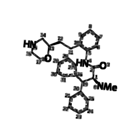 CN[C@H](C(=O)Nc1ccccc1CC[C@@H]1CNCCO1)C(c1ccccc1)c1ccccc1